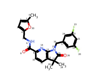 Cc1ccc(CNC(=O)c2ccc3c(n2)N(Cc2cc(F)cc(F)c2)C(=O)C3(C)C)o1